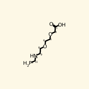 O=C(O)COCCOCCNCP